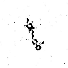 CCCN1C(=O)C2C(=O)N(CCCCN3CCN(c4ccccc4OCC)CC3)C(=O)C(C1=O)C2(C)C